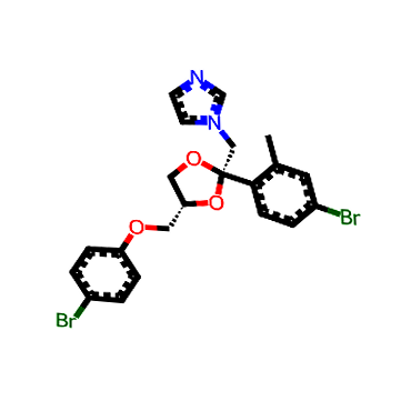 Cc1cc(Br)ccc1[C@]1(Cn2ccnc2)OC[C@@H](COc2ccc(Br)cc2)O1